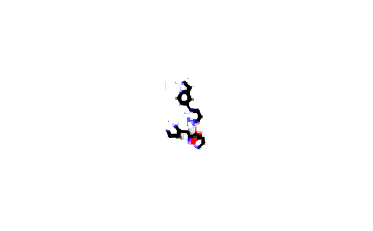 c1cncc(C[C@@H]2[C@@H](Oc3ccc(-c4ccc5[nH]ccc5c4)nn3)C3CCN2CC3)c1